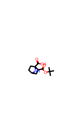 CC(C)(C)OC(=O)C1CC2CCC1(C(=O)O)N2